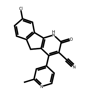 Cc1cc(-c2c3c([nH]c(=O)c2C#N)-c2cc(Cl)ccc2C3)ccn1